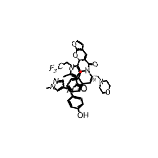 Cc1c(C(=O)N(c2ccc(O)cc2)c2cnn(C)c2)cc(C2Oc3occc3C=C2C(=O)N2Cc3ccccc3C[C@H]2CN2CCOCC2)n1CC(F)(F)F